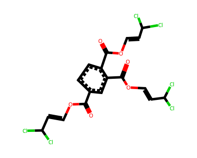 O=C(OC=CC(Cl)Cl)c1ccc(C(=O)OC=CC(Cl)Cl)c(C(=O)OC=CC(Cl)Cl)c1